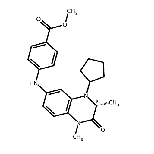 COC(=O)c1ccc(Nc2ccc3c(c2)N(C2CCCC2)[C@H](C)C(=O)N3C)cc1